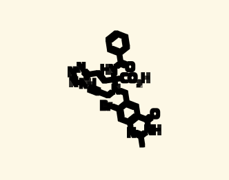 C#CCN(Cc1cc2c(=O)[nH]c(C)nc2cc1Br)C(CCc1nnn[nH]1)(NC(=O)c1ccccc1)C(=O)O